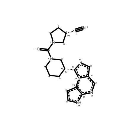 N#C[C@H]1CCN(C(=O)N2CCC[C@@H](c3ncc4cnc5[nH]ccc5n34)C2)C1